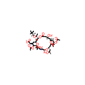 COC(=O)/C=C1\C[C@H]2C[C@H](C(C)O[Si](C)(C)C(C)(C)C)OC(=O)C[C@H](O)C[C@@H]3C[C@H](OC(C)=O)C(C)(C)[C@](OC)(C[C@H](C[C@@H](C)O)OC/C=C/C(C)(C)[C@](O)(O2)C1OC(C)=O)O3